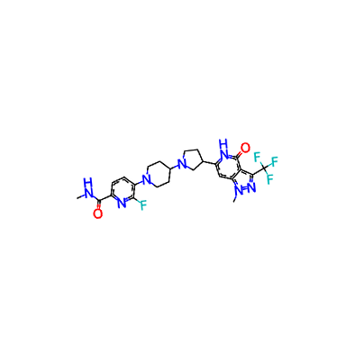 CNC(=O)c1ccc(N2CCC(N3CCC(c4cc5c(c(C(F)(F)F)nn5C)c(=O)[nH]4)C3)CC2)c(F)n1